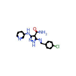 NC(=O)c1c(Nc2cccnc2)n[nH]c1N=Cc1ccc(Cl)cc1